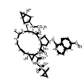 CCOc1ccc2c(O[C@@H]3C[C@H]4C(=O)N[C@]5(C(=O)NS(=O)(=O)C6(C)CC6)C[C@H]5/C=C\CC[C@@H](C)C[C@@H](C)[C@H](N(C(=O)O)[C@H]5CC6C[C@H]6C5)C(=O)N4C3)nccc2c1